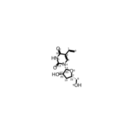 C=Cc1cn([C@@H]2O[C@H](CO)C[C@H]2O)c(=O)[nH]c1=O